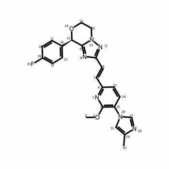 COc1nc(/C=C/c2nc3n(n2)CCO[C@@H]3c2ccc(F)cc2)ccc1-n1cnc(C)c1